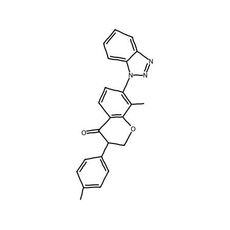 Cc1ccc(C2COc3c(ccc(-n4nnc5ccccc54)c3C)C2=O)cc1